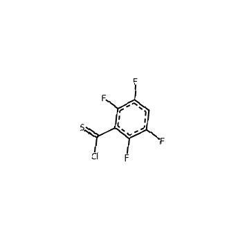 Fc1cc(F)c(F)c(C(=S)Cl)c1F